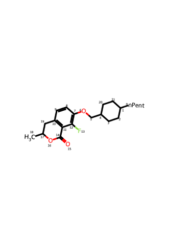 CCCCCC1CCC(COc2ccc3c(c2F)C(=O)OC(C)C3)CC1